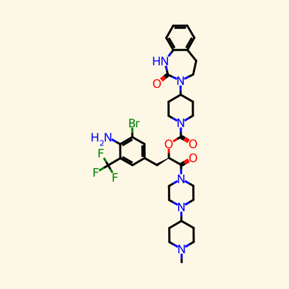 CN1CCC(N2CCN(C(=O)[C@@H](Cc3cc(Br)c(N)c(C(F)(F)F)c3)OC(=O)N3CCC(N4CCc5ccccc5NC4=O)CC3)CC2)CC1